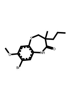 CCCC1(C)CSc2cc(OC)c(Br)cc2NC1=O